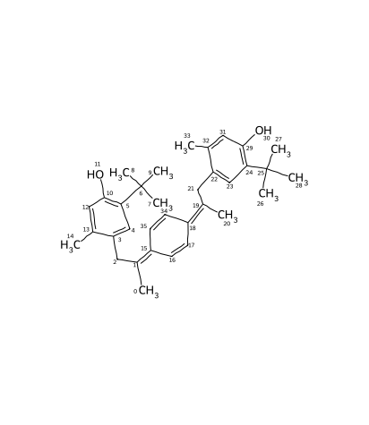 CC(Cc1cc(C(C)(C)C)c(O)cc1C)=c1ccc(=C(C)Cc2cc(C(C)(C)C)c(O)cc2C)cc1